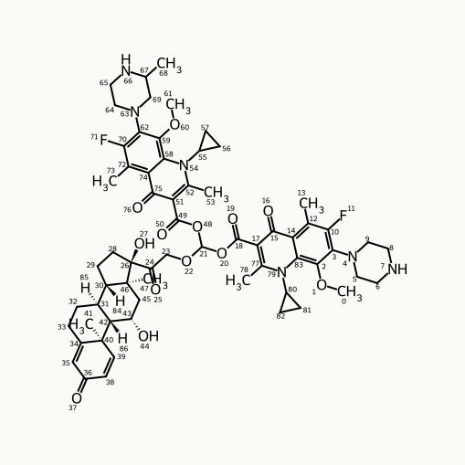 COc1c(N2CCNCC2)c(F)c(C)c2c(=O)c(C(=O)OC(OCC(=O)[C@@]3(O)CC[C@H]4[C@@H]5CCC6=CC(=O)C=C[C@]6(C)[C@H]5[C@@H](O)C[C@@]43C)OC(=O)c3c(C)n(C4CC4)c4c(OC)c(N5CCNC(C)C5)c(F)c(C)c4c3=O)c(C)n(C3CC3)c12